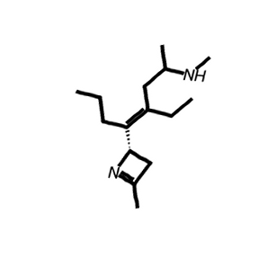 CCC/C(=C(/CC)CC(C)NC)[C@@H]1CC(C)=N1